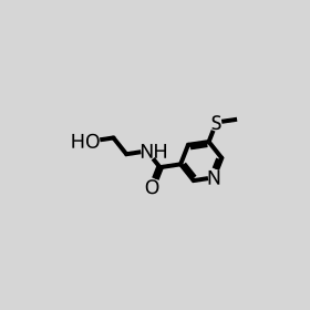 CSc1cncc(C(=O)NCCO)c1